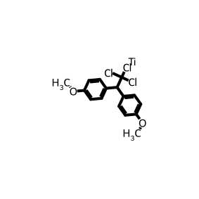 COc1ccc(C(c2ccc(OC)cc2)C(Cl)(Cl)Cl)cc1.[Ti]